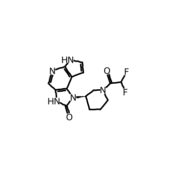 O=C(C(F)F)N1CCC[C@@H](n2c(=O)[nH]c3cnc4[nH]ccc4c32)C1